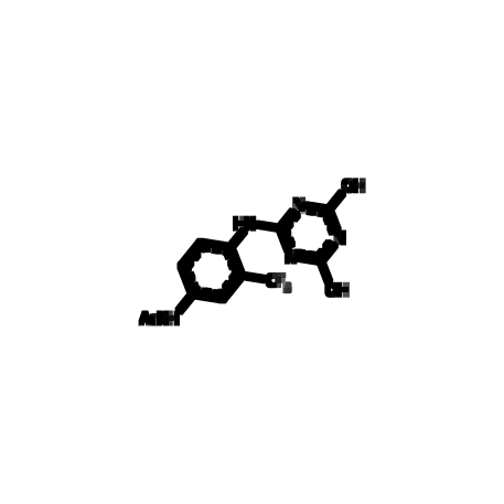 CC(=O)Nc1ccc(Nc2nc(O)nc(O)n2)c(C(F)(F)F)c1